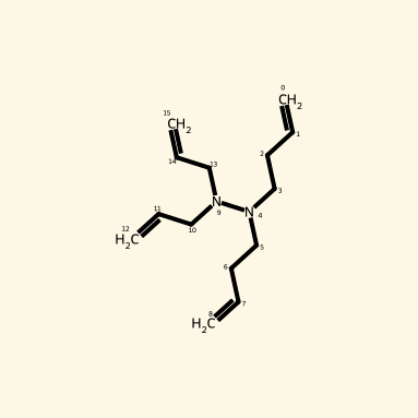 C=CCCN(CCC=C)N(CC=C)CC=C